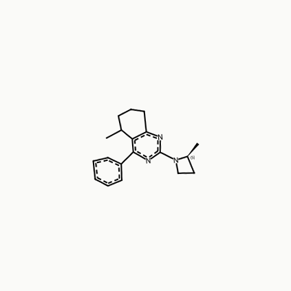 CC1CCCc2nc(N3CC[C@@H]3C)nc(-c3ccccc3)c21